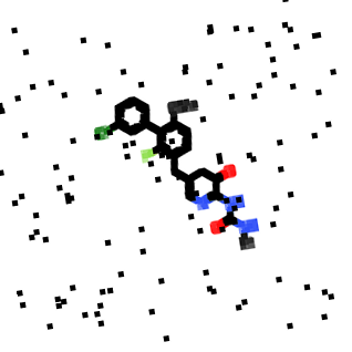 CCNC(=O)NC1=NC=C(Cc2ccc(OC)c(-c3cccc(Cl)c3)c2F)CC1=O